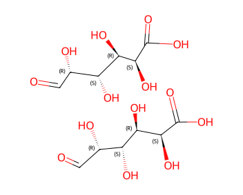 O=C[C@H](O)[C@@H](O)[C@@H](O)[C@H](O)C(=O)O.O=C[C@H](O)[C@@H](O)[C@@H](O)[C@H](O)C(=O)O